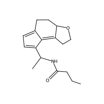 CCCC(=O)NC(C)C1=CC=C2CCC3OCCC3=C21